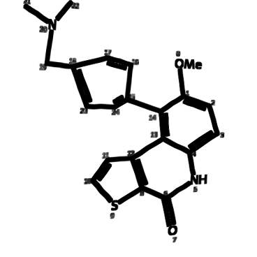 COc1ccc2[nH]c(=O)c3sccc3c2c1-c1ccc(CN(C)C)cc1